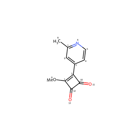 COc1c(-c2ccnc(C)c2)c(=O)c1=O